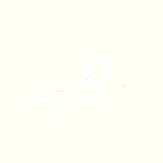 CCNn1ccc2c(N)cccc21